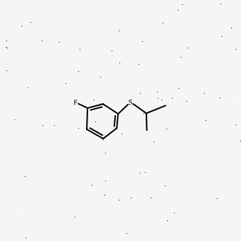 CC(C)Sc1c[c]cc(F)c1